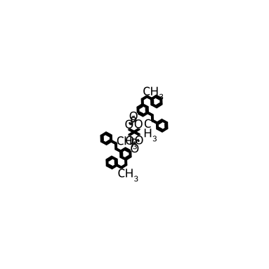 CC(Cc1cc(CC(C)c2ccccc2)cc(OP2OCC3(CO2)COP(Oc2cc(CC(C)c4ccccc4)cc(CC(C)c4ccccc4)c2)OC3)c1)c1ccccc1